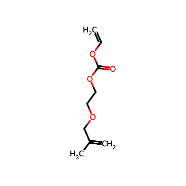 C=COC(=O)OCCOCC(=C)C